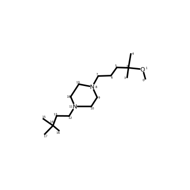 COC(C)(C)CCCN1CCN(CCC(C)(C)C)CC1